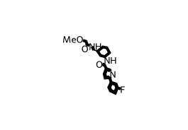 COCC(=O)NC[C@H]1CCC[C@@H](NC(=O)c2ccc(-c3cccc(F)c3)nc2)C1